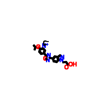 [C-]#[N+]c1cc(-c2nc(-c3ccc4c(cnn4CCC(=O)O)c3)no2)ccc1OC(C)C